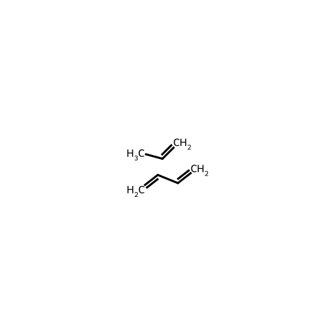 C=CC.C=CC=C